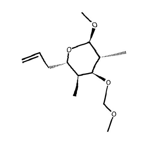 C=CC[C@@H]1O[C@@H](OC)[C@H](C)[C@@H](OCOC)[C@H]1C